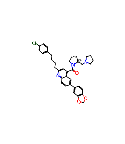 O=C(c1cc(CCCCc2ccc(Cl)cc2)nc2ccc(-c3ccc4c(c3)OCO4)cc12)N1CCC[C@H]1CN1CCCC1